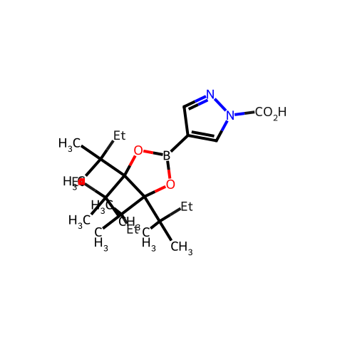 CCC(C)(C)C1(C(C)(C)CC)OB(c2cnn(C(=O)O)c2)OC1(C(C)(C)CC)C(C)(C)CC